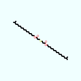 CC(C)CCCCCCCCCCCCCCOC(=O)CCSCCC(=O)OCCCCCCCCCCCCCCC(C)C